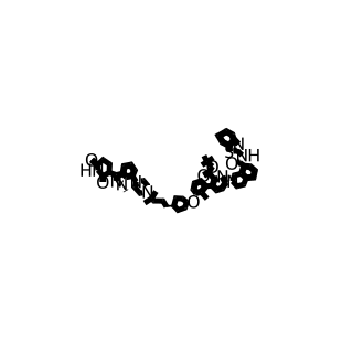 Cc1c(O[C@H]2CC[C@H](CCCC(C)(C)N3CCN(c4cccc5c(C6CCC(=O)NC6=O)nn(C)c45)CC3)CC2)cccc1-c1ccc(N2CCc3cccc(C(=O)Nc4nc5ccccc5s4)c3C2)nc1C(=O)OC(C)(C)C